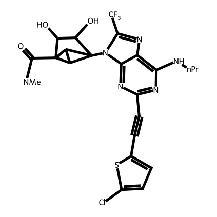 CCCNc1nc(C#Cc2ccc(Cl)s2)nc2c1nc(C(F)(F)F)n2C12C(O)C(O)C3(C(=O)NC)C1C32